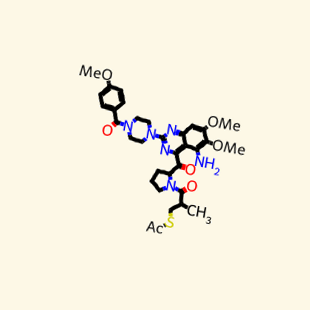 COc1ccc(C(=O)N2CCN(c3nc(C(=O)C4CCCN4C(=O)C(C)CSC(C)=O)c4c(N)c(OC)c(OC)cc4n3)CC2)cc1